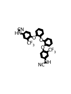 N#CNc1ccc(Oc2ccccc2Oc2ccccc2Oc2ccc(NC#N)cc2C(F)(F)F)c(C(F)(F)F)c1